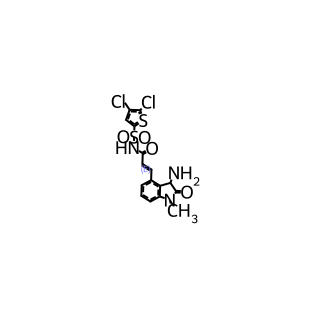 CN1C(=O)C(N)c2c(/C=C/C(=O)NS(=O)(=O)c3cc(Cl)c(Cl)s3)cccc21